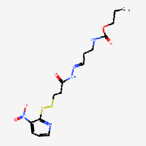 CCCOC(=O)NCC/C=N/NC(=O)CCSSc1ncccc1[N+](=O)[O-]